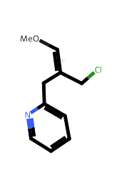 CO/C=C(/CCl)Cc1ccccn1